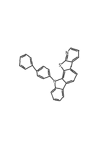 c1ccc(-c2ccc(-n3c4ccccc4c4ccc5c6cccnc6sc5c43)cc2)cc1